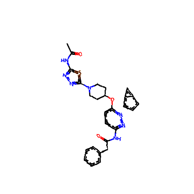 CC(=O)Nc1nnc(N2CCC(Oc3ccc(NC(=O)Cc4ccccc4)nn3)CC2)s1.c1cc2cc-2c1